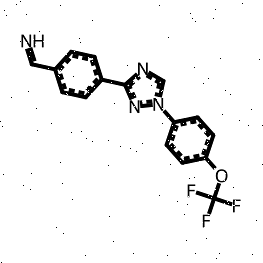 N=Cc1ccc(-c2ncn(-c3ccc(OC(F)(F)F)cc3)n2)cc1